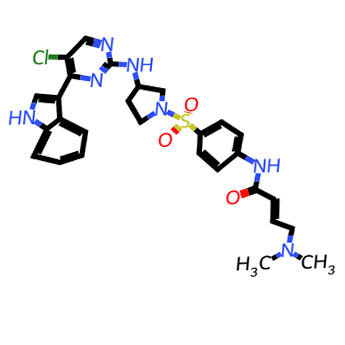 CN(C)CC=CC(=O)Nc1ccc(S(=O)(=O)N2CCC(Nc3ncc(Cl)c(-c4c[nH]c5ccccc45)n3)C2)cc1